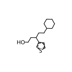 OCCC(CCC1CCCCC1)c1ccsc1